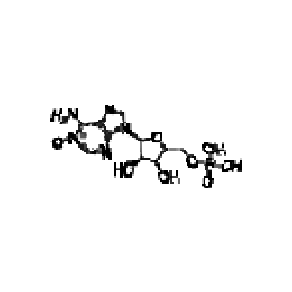 Nc1c2ncn(C3O[C@H](COP(=O)(O)O)[C@@H](O)[C@H]3O)c2nc[n+]1[O-]